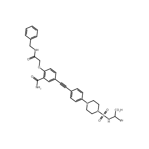 CC(C)C(NS(=O)(=O)N1CCN(c2ccc(C#Cc3ccc(OCC(=O)NCc4ccccc4)c(C(N)=O)c3)cc2)CC1)C(=O)O